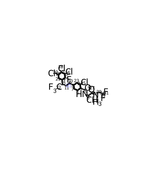 CC(NC(=O)c1ccc(/C(F)=C/C(c2cc(Cl)c(Cl)c(Cl)c2)C(F)(F)F)cc1Cl)C(=O)NCC(F)F